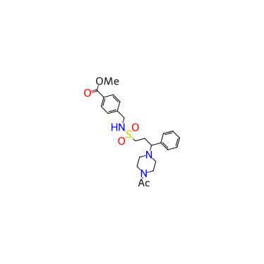 COC(=O)c1ccc(CNS(=O)(=O)CCC(c2ccccc2)N2CCN(C(C)=O)CC2)cc1